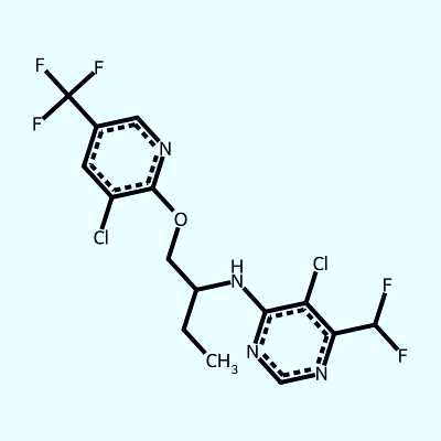 CCC(COc1ncc(C(F)(F)F)cc1Cl)Nc1ncnc(C(F)F)c1Cl